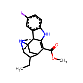 CCC1CN2CC[C@]34C(=C(C(=O)OC)C1C[C@H]23)Nc1ccc(I)cc14